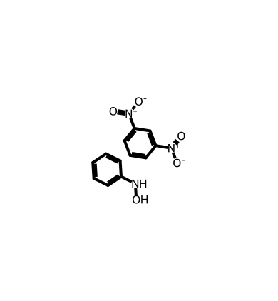 O=[N+]([O-])c1cccc([N+](=O)[O-])c1.ONc1ccccc1